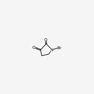 O=C1CCN(Br)C1=O